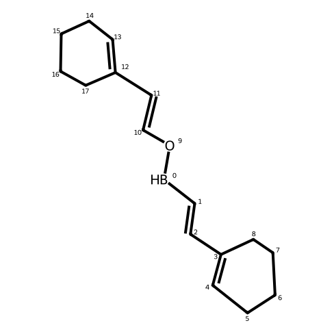 B(C=CC1=CCCCC1)OC=CC1=CCCCC1